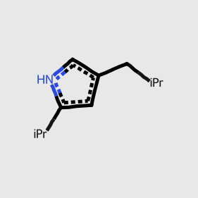 CC(C)Cc1c[nH]c(C(C)C)c1